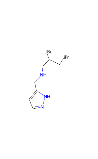 CC(C)CC(CNCc1ccn[nH]1)C(C)(C)C